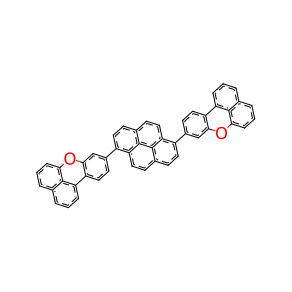 c1cc2c3c(cccc3c1)-c1ccc(-c3ccc4ccc5c(-c6ccc7c(c6)Oc6cccc8cccc-7c68)ccc6ccc3c4c65)cc1O2